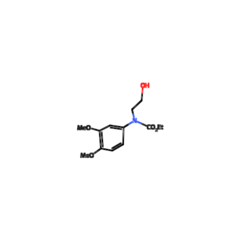 CCOC(=O)N(CCO)c1ccc(OC)c(OC)c1